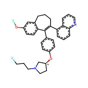 FCCCN1CC[C@H](Oc2ccc(C3=C(c4cccc5ncccc45)CCCc4cc(OF)ccc43)cc2)C1